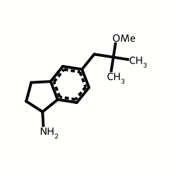 COC(C)(C)Cc1ccc2c(c1)CCC2N